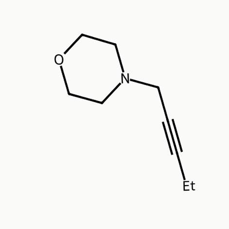 CCC#CCN1CCOCC1